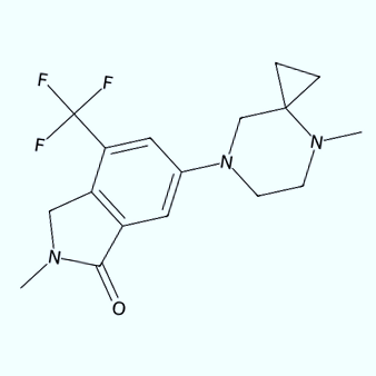 CN1Cc2c(cc(N3CCN(C)C4(CC4)C3)cc2C(F)(F)F)C1=O